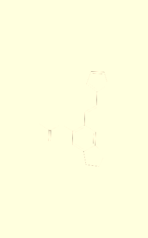 CC(=O)Oc1cc2c(cc1C=Cc1cccs1)OCC2